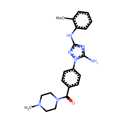 COc1ccccc1Nc1nc(N)n(-c2ccc(C(=O)N3CCN(C)CC3)cc2)n1